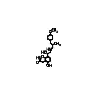 COc1ccc(CC(C)CNCC(O)c2ccc(O)c3c2ONC(=O)C3)cc1